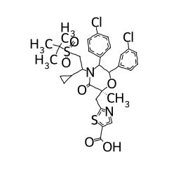 CC(C)(C)S(=O)(=O)CC(C1CC1)N1C(=O)[C@](C)(Cc2ncc(C(=O)O)s2)OC(c2cccc(Cl)c2)C1c1ccc(Cl)cc1